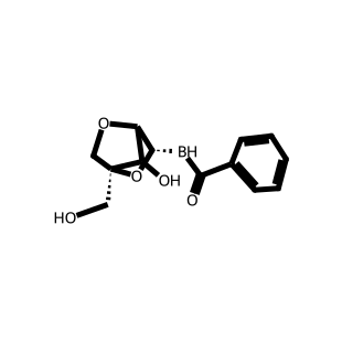 O=C(B[C@@H]1O[C@@]2(CO)COC1C2O)c1ccccc1